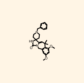 COc1cc2c(c(OC)c1)C(C)(C)C=C1N(C2)C(=O)NC12CCN(Cc1ccccc1)CC2